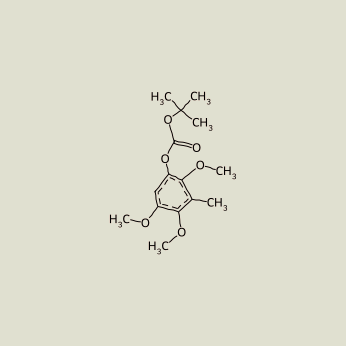 COc1cc(OC(=O)OC(C)(C)C)c(OC)c(C)c1OC